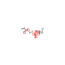 C=CC(=O)OCCOP(=O)(O)OCCC